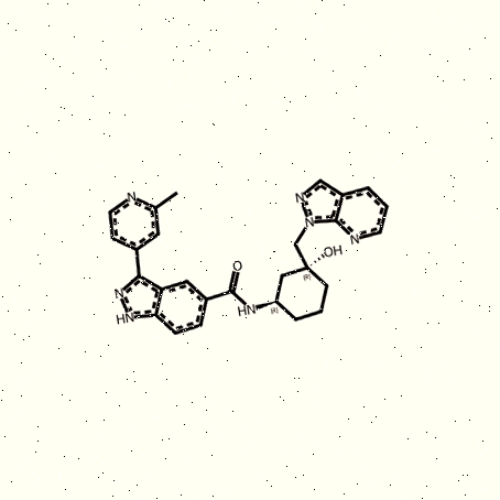 Cc1cc(-c2n[nH]c3ccc(C(=O)N[C@@H]4CCC[C@](O)(Cn5ncc6cccnc65)C4)cc23)ccn1